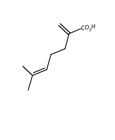 C=C(CCC=C(C)C)C(=O)O